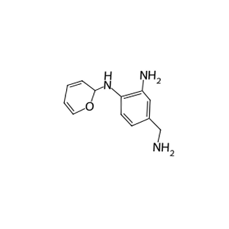 NCc1ccc(NC2C=CC=CO2)c(N)c1